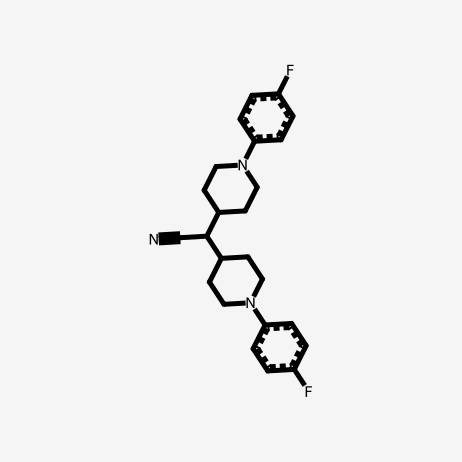 N#CC(C1CCN(c2ccc(F)cc2)CC1)C1CCN(c2ccc(F)cc2)CC1